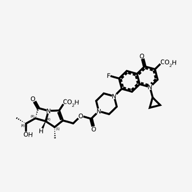 C[C@@H](O)[C@@H]1C(=O)N2C(C(=O)O)=C(COC(=O)N3CCN(c4cc5c(cc4F)c(=O)c(C(=O)O)cn5C4CC4)CC3)[C@H](C)[C@H]12